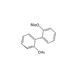 COc1ccccc1-c1ccccc1OC(C)=O